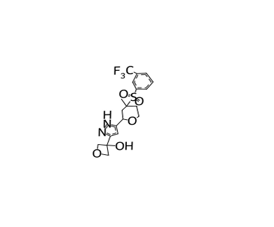 CC1(S(=O)(=O)c2cccc(C(F)(F)F)c2)CCOC(c2cc(C3(O)COC3)n[nH]2)C1